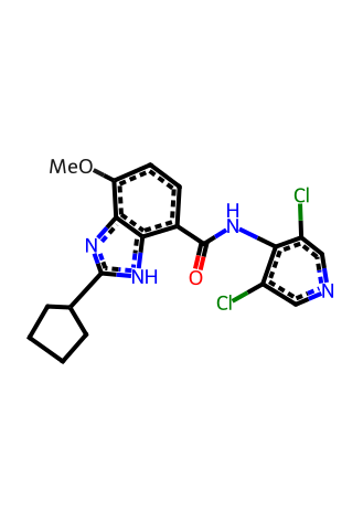 COc1ccc(C(=O)Nc2c(Cl)cncc2Cl)c2[nH]c(C3CCCC3)nc12